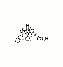 Cc1ncccc1Oc1cc(SCCC(=O)O)cnc1Nc1nc(C2COC3(CCCCC3)O2)ns1